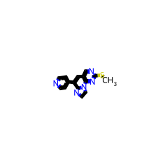 CSc1ncc2c(n1)N1CCN=C1C(c1ccncc1)=C2